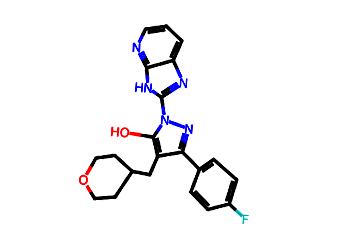 Oc1c(CC2CCOCC2)c(-c2ccc(F)cc2)nn1-c1nc2cccnc2[nH]1